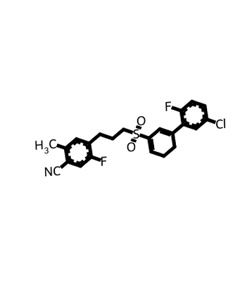 Cc1cc(CCCS(=O)(=O)C2=CCCC(c3cc(Cl)ccc3F)=C2)c(F)cc1C#N